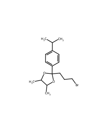 CC(C)c1ccc(C2(CCCBr)OC(C)C(C)O2)cc1